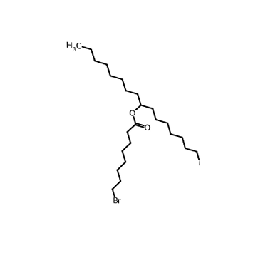 CCCCCCCCC(CCCCCCCI)OC(=O)CCCCCCCBr